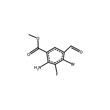 COC(=O)c1cc(C=O)c(Br)c(F)c1N